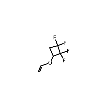 C=COC1CC(F)(F)C1(F)F